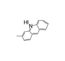 Cc1ccc2cc3ccccc3nc2c1.I